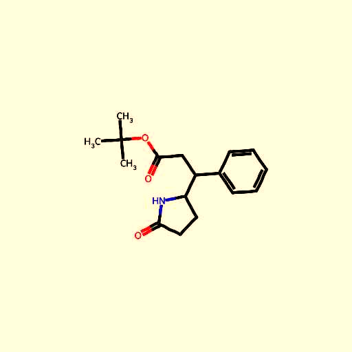 CC(C)(C)OC(=O)CC(c1ccccc1)C1CCC(=O)N1